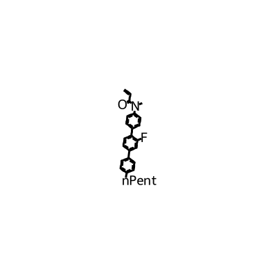 C=CC(=O)N(C)c1ccc(-c2ccc(-c3ccc(CCCCC)cc3)cc2F)cc1